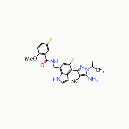 COc1ccc(F)cc1C(=O)NCc1cc(F)c(-c2nn(C(C)C(F)(F)F)c(N)c2C#N)c2cc[nH]c12